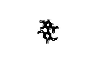 COC1=CNC(OC)C=C1c1c(C(C)=O)ccc(Cl)c1F